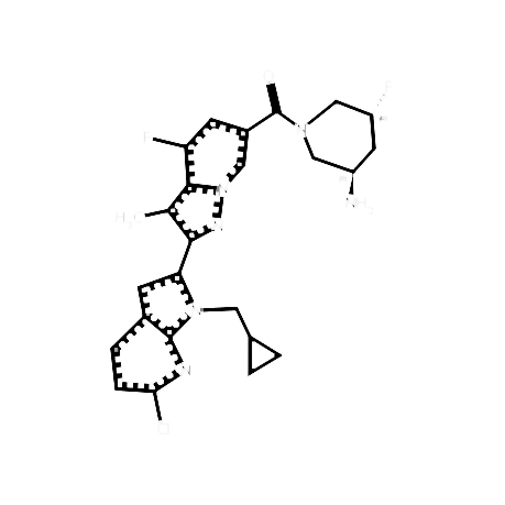 Cc1c(-c2cc3ccc(Cl)nc3n2CC2CC2)nn2cc(C(=O)N3C[C@H](N)C[C@@H](F)C3)cc(F)c12